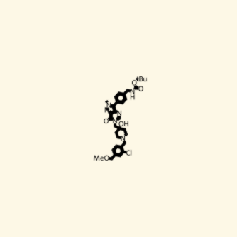 COCc1ccc(CN2CCC(O)(Cn3cnc4c(-c5ccc(CNC(=O)OC(C)(C)C)cc5)n(C)nc4c3=O)CC2)c(Cl)c1